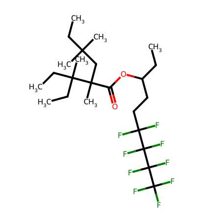 CCC(CCC(F)(F)C(F)(F)C(F)(F)C(F)(F)F)OC(=O)C(C)(CC(C)(C)CC)C(C)(CC)CC